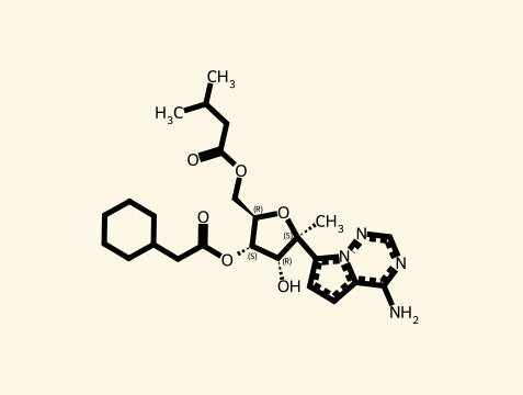 CC(C)CC(=O)OC[C@H]1O[C@@](C)(c2ccc3c(N)ncnn23)[C@H](O)[C@@H]1OC(=O)CC1CCCCC1